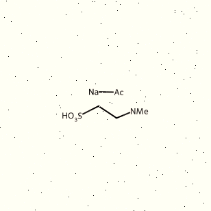 CNCCS(=O)(=O)O.C[C](=O)[Na]